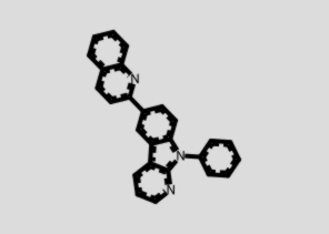 c1ccc(-n2c3ccc(-c4ccc5ccccc5n4)cc3c3cccnc32)cc1